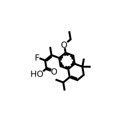 CCOc1cc2c(cc1/C(C)=C(/F)C(=O)O)C(C(C)C)=CCC2(C)C